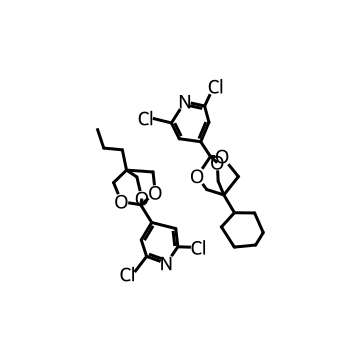 CCCC12COC(c3cc(Cl)nc(Cl)c3)(OC1)OC2.Clc1cc(C23OCC(C4CCCCC4)(CO2)CO3)cc(Cl)n1